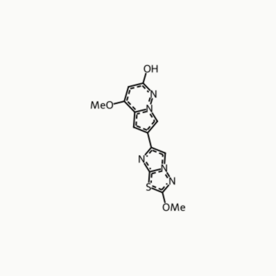 COc1nn2cc(-c3cc4c(OC)cc(O)nn4c3)nc2s1